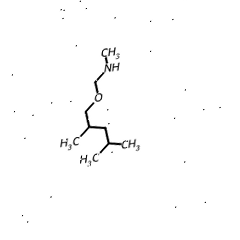 CNCOCC(C)CC(C)C